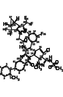 Cc1ccccc1-c1ccc2c(=O)n(C3=CC=C(Cl)C4C(NS(C)(=O)=O)=NN(C)C34)c([C@H](Cc3cc(F)cc(F)c3)NC(=O)Cn3nc(C(F)F)c4c3C(F)(F)[C@@H]3C[C@H]43)nc2c1